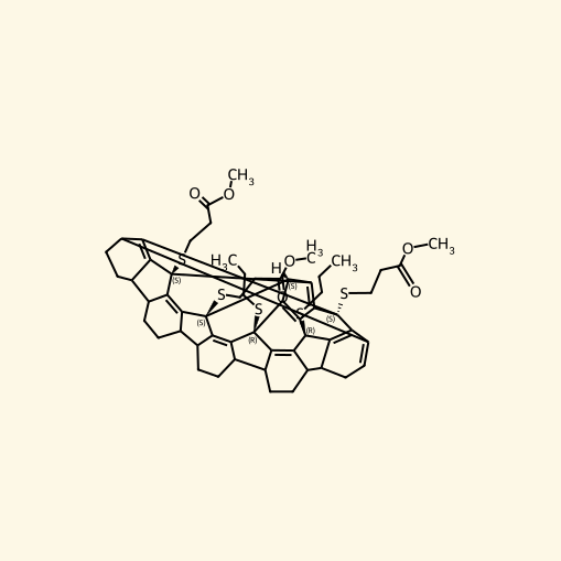 CCCS[C@@]12C3=C4[C@H]5C6=C3[C@@]3(SCCC(=O)OC)C7=C1C1CC=C7C7CCC8C(=C73)[C@@]6(SCCC(=O)OC)C3=C6C(CCC38)C3CCC7C(=C3[C@]65SCCC(=O)OC)[C@@]4(SCCC)C3=C2C1CCC37